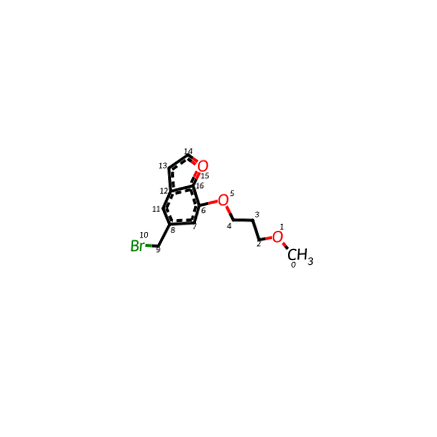 COCCCOc1cc(CBr)cc2ccoc12